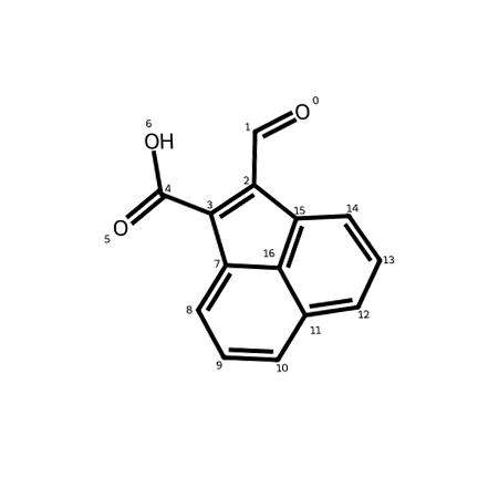 O=CC1=C(C(=O)O)c2cccc3cccc1c23